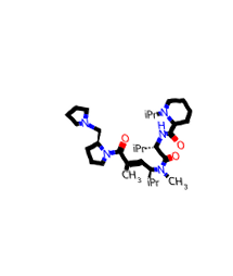 C/C(=C\[C@H](C(C)C)N(C)C(=O)[C@@H](NC(=O)C1CCCCN1C(C)C)C(C)C)C(=O)N1CCC[C@H]1CN1CCCC1